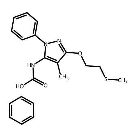 CSCCOc1nn(-c2ccccc2)c(NC(=O)O)c1C.c1ccccc1